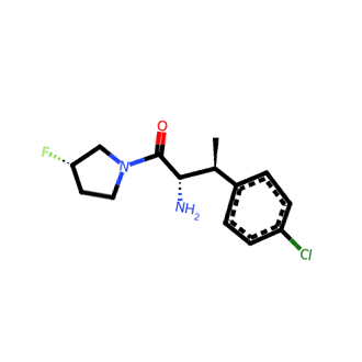 C[C@@H](c1ccc(Cl)cc1)[C@H](N)C(=O)N1CC[C@H](F)C1